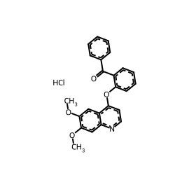 COc1cc2nccc(Oc3ccccc3C(=O)c3ccccc3)c2cc1OC.Cl